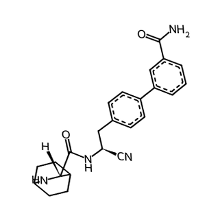 N#C[C@H](Cc1ccc(-c2cccc(C(N)=O)c2)cc1)NC(=O)[C@H]1NC2CCC1CC2